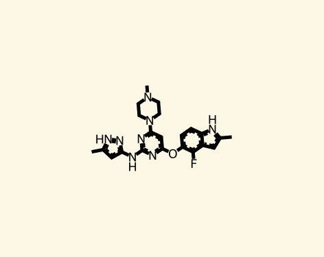 Cc1cc(Nc2nc(Oc3ccc4[nH]c(C)cc4c3F)cc(N3CCN(C)CC3)n2)n[nH]1